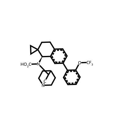 O=C(O)N(C1CN2CCC1CC2)[C@@H]1c2cc(-c3ccccc3OC(F)(F)F)ccc2CCC12CC2